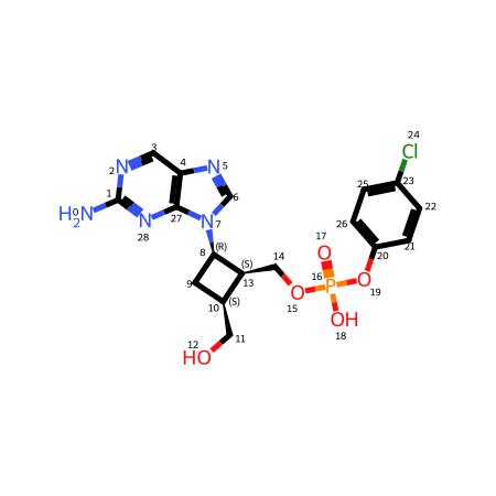 Nc1ncc2ncn([C@@H]3C[C@H](CO)[C@@H]3COP(=O)(O)Oc3ccc(Cl)cc3)c2n1